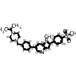 CC(C)N1CCN(Cc2ccc(-c3cnc4cc(-c5ccc(S(C)(=O)=O)cc5)n(C)c4c3)cc2)CC1